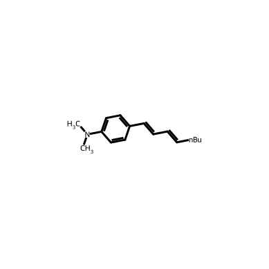 CCCCC=CC=Cc1ccc(N(C)C)cc1